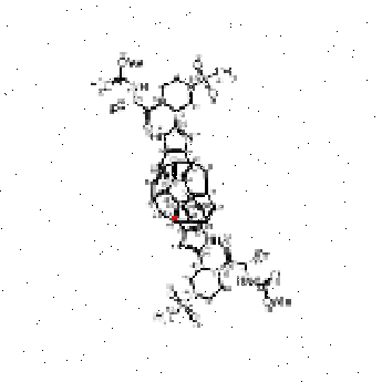 C=C(N[C@H](C(=O)N1CCN(S(C)(=O)=O)C[C@H]1c1nc2cc(-c3cc4ccc3CCc3ccc(c(-c5ccc6[nH]c([C@@H]7CN(S(C)(=O)=O)CCN7C(=O)[C@@H](NC(=O)OC)C(C)C)nc6c5)c3)CC4)ccc2[nH]1)C(C)C)OC